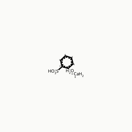 O.O=S(=O)(O)c1ccccc1.[CaH2]